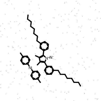 CCCCCCCCc1cccc(C2=C(C)C(C)=C(c3cccc(CCCCCCCC)c3)[N+]2=[N-])c1.Cc1cc[c]([Ni][c]2ccc(C)cc2)cc1